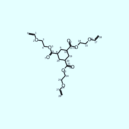 C=COCCOC(=O)C1CC(C(=O)OCCOC=C)CC(C(=O)OCCOC=C)C1